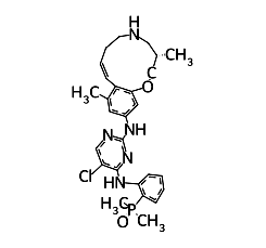 Cc1cc(Nc2ncc(Cl)c(Nc3ccccc3P(C)(C)=O)n2)cc2c1/C=C\CCNC[C@H](C)CO2